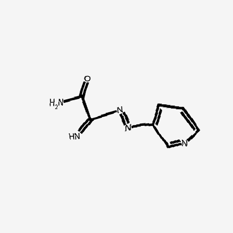 N=C(N=Nc1cccnc1)C(N)=O